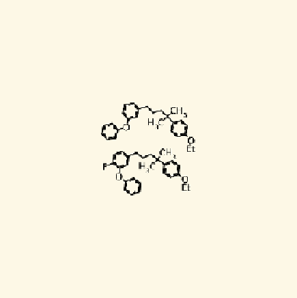 CCOc1ccc(C(C)(C)CCCc2ccc(F)c(Oc3ccccc3)c2)cc1.CCOc1ccc(C(C)(C)CCCc2cccc(Oc3ccccc3)c2)cc1